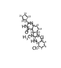 Cn1c(Nc2c(Cl)cccc2Cl)nc2ccc3nc(C4=C=CC=C4)[nH]c(=O)c3c21